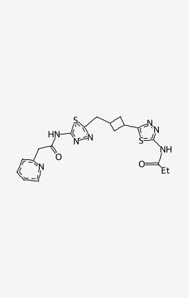 CCC(=O)Nc1nnc(C2CC(Cc3nnc(NC(=O)Cc4ccccn4)s3)C2)s1